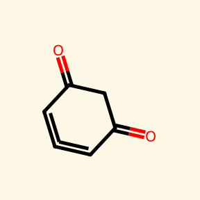 O=C1C=C=CC(=O)C1